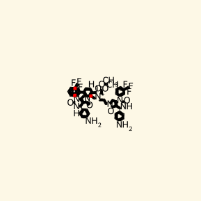 CC(C)(C)OC(=O)C[N+](CCCN1CC2=C(C1=O)[C@@H](c1ccc(N)cc1)NC(=O)N2c1cccc(C(F)(F)F)c1)(CCN1CC2=C(C1=O)[C@@H](c1ccc(N)cc1)NC(=O)N2c1cccc(C(F)(F)F)c1)Cc1ccc(-c2ccccc2)cc1